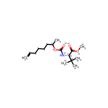 C=CCCCCC(C)OC(=O)N[C@H](C(=O)OC)C(C)(C)C